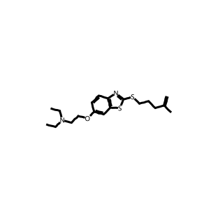 C=C(C)CCCSc1nc2ccc(OCCN(CC)CC)cc2s1